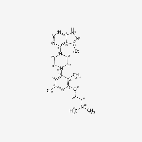 CCc1n[nH]c2ncnc(N3CCN(c4cc(Cl)cc(OCCN(C)C)c4C)CC3)c12